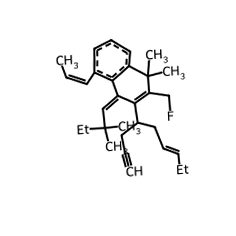 C#CCC(CC=CCC)C1=C(CF)C(C)(C)c2cccc(/C=C\C)c2/C1=C/C(C)(C)CC